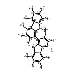 [2H]c1c([2H])c([2H])c2c([nH]c3c(-c4c([2H])c([2H])c([2H])c5c6c([2H])c([2H])c([2H])c([2H])c6n([2H])c45)c([2H])c([2H])c([2H])c32)c1[2H]